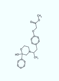 COC(=O)COc1ccc(CC(C)N2CCOC(O)(c3ccccc3)C2)cc1